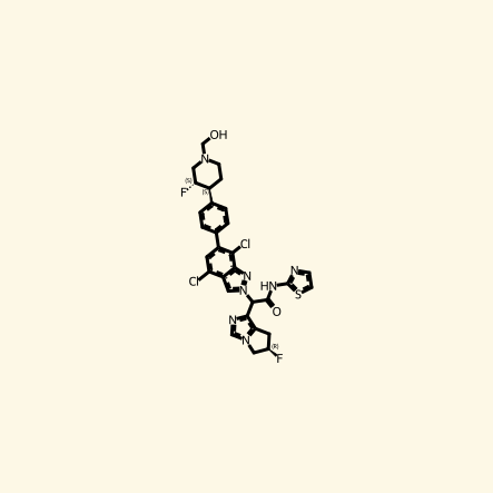 O=C(Nc1nccs1)C(c1ncn2c1C[C@@H](F)C2)n1cc2c(Cl)cc(-c3ccc([C@@H]4CCN(CO)C[C@H]4F)cc3)c(Cl)c2n1